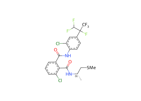 CSC[C@H](C)NC(=O)c1c(Cl)cccc1C(=O)Nc1ccc(C(F)(C(F)F)C(F)(F)F)cc1Cl